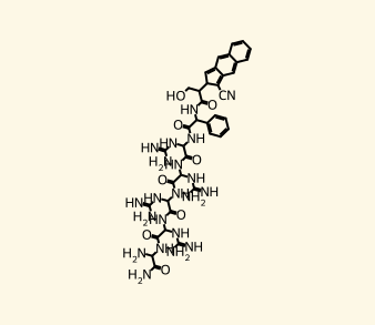 N#CC1=c2cc3ccccc3cc2=CC1C(CO)C(=O)NC(C(=O)NC(NC(=N)N)C(=O)NC(NC(=N)N)C(=O)NC(NC(=N)N)C(=O)NC(NC(=N)N)C(=O)NC(N)C(N)=O)c1ccccc1